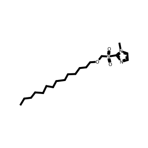 CCCCCCCCCCCCCCOCS(=O)(=O)c1nccn1C